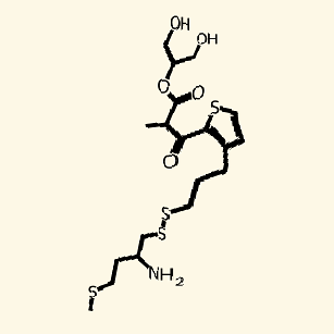 CSCCC(N)CSSCCCc1ccsc1C(=O)C(C)C(=O)OC(CO)CO